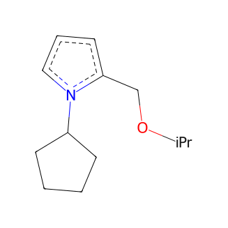 CC(C)OCc1cccn1C1CCCC1